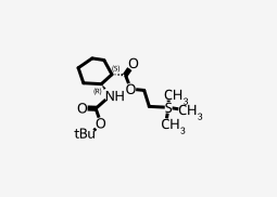 CC(C)(C)OC(=O)N[C@@H]1CCCC[C@@H]1C(=O)OCCS(C)(C)C